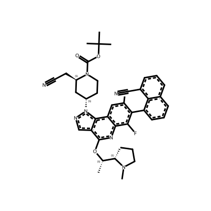 Cc1cc2c(nc(O[C@@H](C)[C@@H]3CCCN3C)c3cnn([C@H]4CCN(C(=O)OC(C)(C)C)[C@H](CC#N)C4)c32)c(F)c1-c1cccc2cccc(C#N)c12